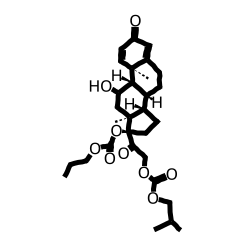 CCCOC(=O)O[C@]1(C(=O)COC(=O)OCC(C)C)CC[C@H]2[C@@H]3CCC4=CC(=O)C=C[C@]4(C)[C@H]3C(O)C[C@@]21C